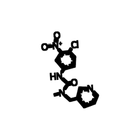 CN(Cc1cccnc1)C(=O)Nc1ccc(Cl)c([N+](=O)[O-])c1